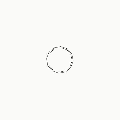 C1=C=CC=CC=CCC=CC=C=1